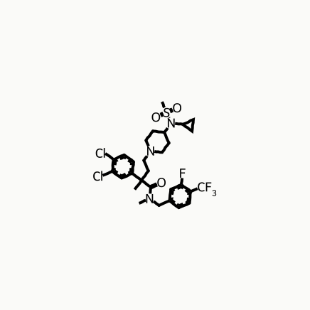 CN(Cc1ccc(C(F)(F)F)c(F)c1)C(=O)C(C)(CCN1CCC(N(C2CC2)S(C)(=O)=O)CC1)c1ccc(Cl)c(Cl)c1